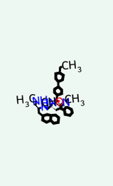 CCc1ccc(-c2ccc(C(=O)N[C@H](Cc3cn(C)c4ccccc34)CN(C)[C@H](CNC)Cc3ccc4ccccc4c3)cc2)cc1